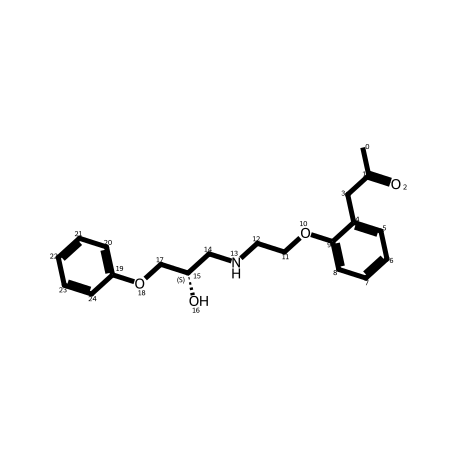 CC(=O)Cc1ccccc1OCCNC[C@H](O)COc1ccccc1